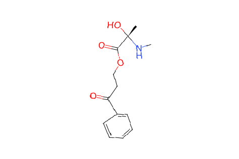 CN[C@@](C)(O)C(=O)OCCC(=O)c1ccccc1